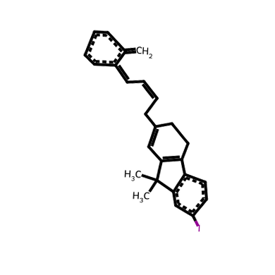 C=c1cccc/c1=C/C=C\CC1=CC2=C(CC1)c1ccc(I)cc1C2(C)C